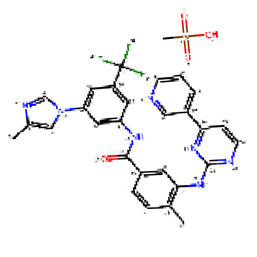 CS(=O)(=O)O.Cc1cn(-c2cc(NC(=O)c3ccc(C)c(Nc4nccc(-c5cccnc5)n4)c3)cc(C(F)(F)F)c2)cn1